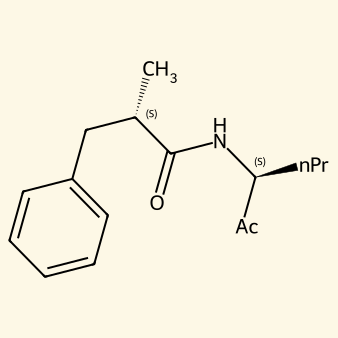 CCC[C@H](NC(=O)[C@@H](C)Cc1ccccc1)C(C)=O